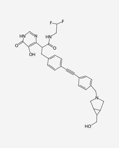 O=C(NCC(F)F)C(Cc1ccc(C#Cc2ccc(CN3CC4C(CO)C4C3)cc2)cc1)c1nc[nH]c(=O)c1O